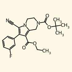 CCOC(=O)c1c(-c2cccc(F)c2)c(C#N)n2c1CN(C(=O)OC(C)(C)C)CC2